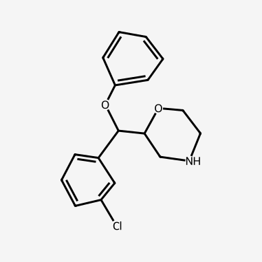 Clc1cccc(C(Oc2ccccc2)C2CNCCO2)c1